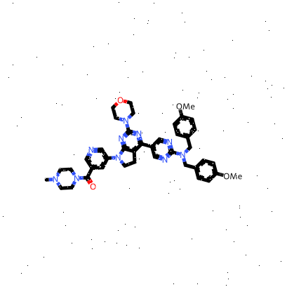 COc1ccc(CN(Cc2ccc(OC)cc2)c2ncc(-c3nc(N4CCOCC4)nc4c3CCN4c3cncc(C(=O)N4CCN(C)CC4)c3)cn2)cc1